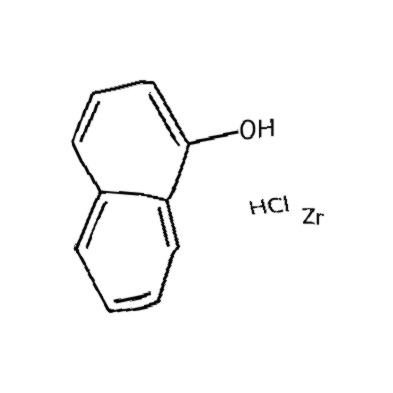 Cl.Oc1cccc2ccccc12.[Zr]